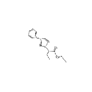 CCOC(=O)C(CC)n1ncc(-c2ccccc2)n1